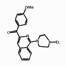 CCN1CCN(c2nc(C(=O)c3ccc(OC)cc3)cc3ccccc23)CC1